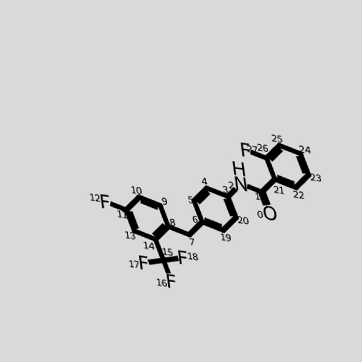 O=C(Nc1ccc(Cc2ccc(F)cc2C(F)(F)F)cc1)c1ccccc1F